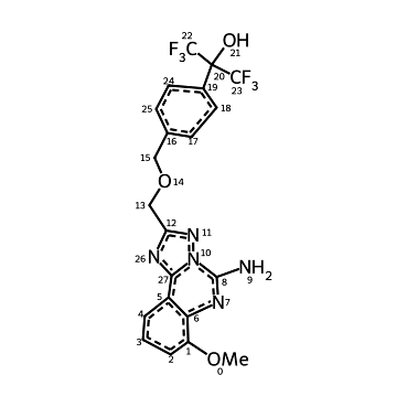 COc1cccc2c1nc(N)n1nc(COCc3ccc(C(O)(C(F)(F)F)C(F)(F)F)cc3)nc21